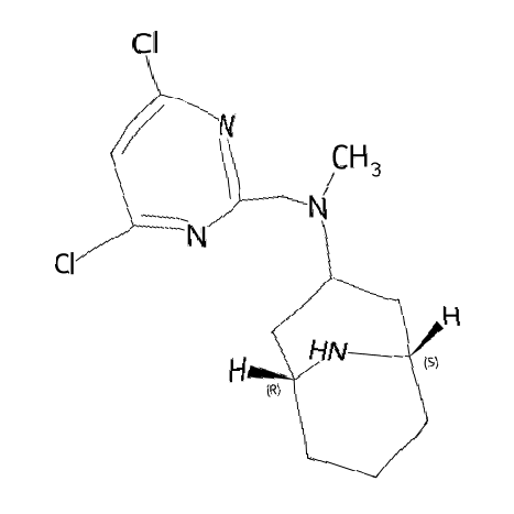 CN(c1nc(Cl)cc(Cl)n1)C1C[C@H]2CCC[C@@H](C1)N2